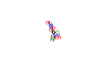 CC(=O)N1CCN(S(=O)(=O)c2ccc(NC(=O)[C@@](C)(O)C(F)(F)F)c(Cl)c2)CC1